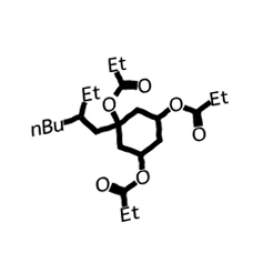 CCCCC(CC)CC1(OC(=O)CC)CC(OC(=O)CC)CC(OC(=O)CC)C1